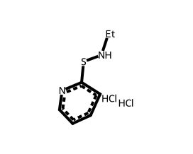 CCNSc1ccccn1.Cl.Cl